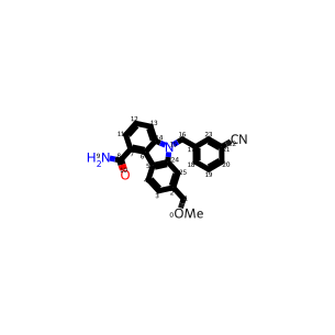 COCc1c[c]c2c3c(C(N)=O)cccc3n(Cc3cccc(C#N)c3)c2c1